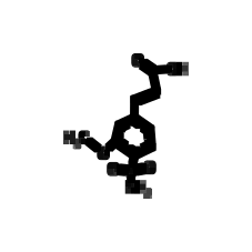 COc1cc(/C=C/C(=O)O)ccc1S(N)(=O)=O